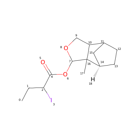 CCC(I)C(=O)OC1OCC2C3CC[C@H](C3)C12C